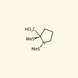 CSN1CCC[C@@]1(SC)C(=O)O